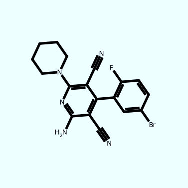 N#Cc1c(N)nc(N2CCCCC2)c(C#N)c1-c1cc(Br)ccc1F